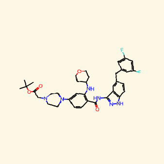 CC(C)(C)OC(=O)CN1CCN(c2ccc(C(=O)Nc3n[nH]c4ccc(Cc5cc(F)cc(F)c5)cc34)c(NC3CCOCC3)c2)CC1